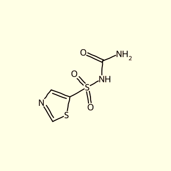 NC(=O)NS(=O)(=O)c1cncs1